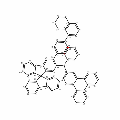 c1ccc(N(c2ccc3c4ccccc4c4ccccc4c3c2)c2cc3c(cc2-c2ccc(-c4cccc5c4CCCC5)cc2)-c2ccccc2C32c3ccccc3-c3ccccc32)cc1